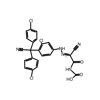 N#C/C(=N\Nc1ccc(C(C#N)(c2ccc(Cl)cc2)c2ccc(Cl)cc2)c(Cl)c1)C(=O)NC(=O)O